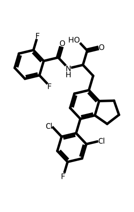 O=C(NC(Cc1ccc(-c2c(Cl)cc(F)cc2Cl)c2c1CCC2)C(=O)O)c1c(F)cccc1F